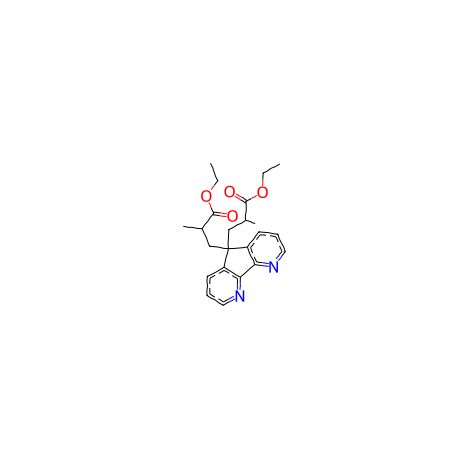 CCOC(=O)C(C)CC1(CC(C)C(=O)OCC)c2cccnc2-c2ncccc21